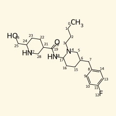 CCCCN1CC(Cc2ccc(F)cc2)CCC1NC(=O)C1CCC(CO)NC1